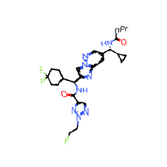 CCCC(=O)N[C@@H](c1cnn2cc([C@@H](NC(=O)c3cnn(CCF)n3)C3CCC(F)(F)CC3)nc2c1)C1CC1